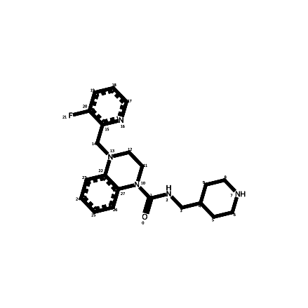 O=C(NCC1CCNCC1)N1CCN(Cc2ncccc2F)c2ccccc21